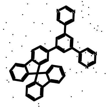 c1ccc2c(c1)-c1ccccc1C21c2ccccc2-c2ccc(-c3cc(-c4cncnc4)cc(-c4cncnc4)c3)cc21